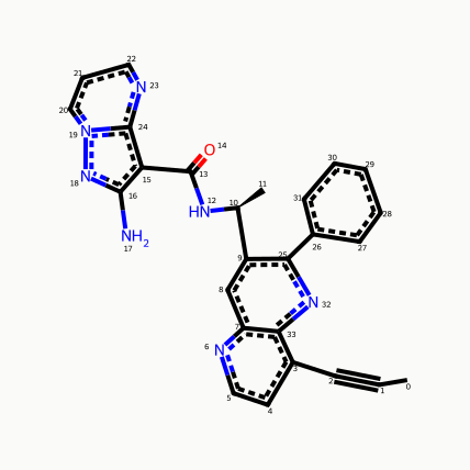 CC#Cc1ccnc2cc([C@H](C)NC(=O)c3c(N)nn4cccnc34)c(-c3ccccc3)nc12